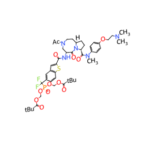 CC(=O)N1CC[C@H]2CC[C@@H](C(=O)N(C)c3ccc(OCCN(C)C)cc3)N2C(=O)C(NC(=O)c2cc3cc(C(F)(F)P(=O)(OCOC(=O)C(C)(C)C)OCOC(=O)C(C)(C)C)ccc3s2)C1